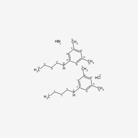 Br.CCCCPc1cc(C)cc(C)c1.CCCCPc1cc(C)cc(C)c1.Cl